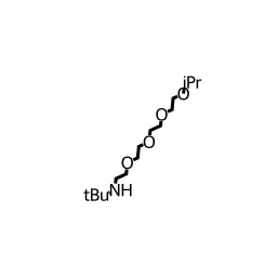 CC(C)OCCOCCOCCOCCNC(C)(C)C